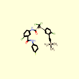 C[Si](C)(C)C#Cc1cc([C@H]2[C@H](C(=O)Nc3ccc(Cl)c(C(=O)Nc4ccc(F)cc4)c3)C2(Cl)Cl)ccc1Cl